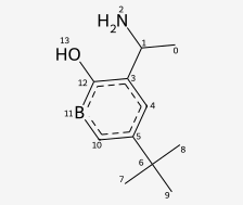 CC(N)c1cc(C(C)(C)C)cbc1O